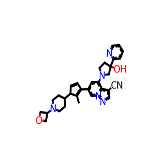 CC1=C(c2cc(N3CCC(O)(c4ccccn4)C3)c3c(C#N)cnn3c2)C=CC1C1CCN(C2COC2)CC1